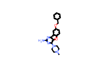 CN1CCN(c2nc(N)nc3c2oc2ccc(OCc4ccccc4)cc23)CC1